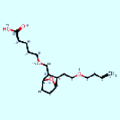 C=CCCOCCC1C2CCC(O2)C1COCCCCC(=O)O